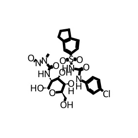 CN(N=O)C(=O)N[C@@H]1[C@@H](O)[C@H](O)[C@@H](CO)O[C@@H]1O.O=C(Nc1ccc(Cl)cc1)NS(=O)(=O)c1ccc2c(c1)CCC2